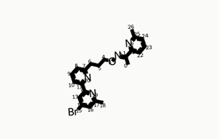 C/C(=N\OCCCc1cccc(-c2cc(Br)cc(C)n2)n1)c1cccc(C)n1